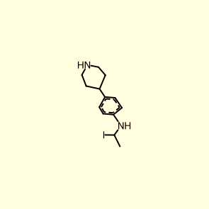 CC(I)Nc1ccc(C2CCNCC2)cc1